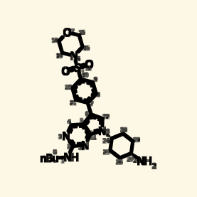 CCCCNc1ncc2c(-c3ccc(S(=O)(=O)N4CCOCC4)cc3)cn([C@H]3CC[C@H](N)CC3)c2n1